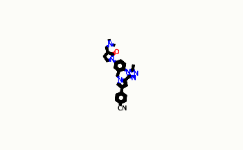 Cc1nnc2n1-c1ccc(N3CCC(CN(C)C)C3=O)cc1Cn1cc(-c3ccc(C#N)cc3)cc1-2